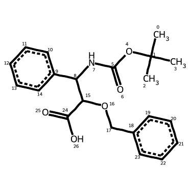 CC(C)(C)OC(=O)NC(c1ccccc1)C(OCc1ccccc1)C(=O)O